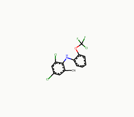 N#Cc1cc(Cl)cc(Cl)c1Nc1ccccc1OC(F)(F)Cl